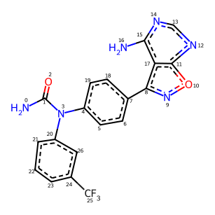 NC(=O)N(c1ccc(-c2noc3ncnc(N)c23)cc1)c1cccc(C(F)(F)F)c1